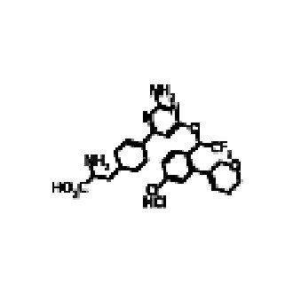 Cl.Nc1nc(OC(c2ccc(Cl)cc2C2=CCCOC2)C(F)(F)F)cc(C2=CCC(CC(N)C(=O)O)CC2)n1